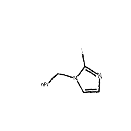 CCCCn1ccnc1I